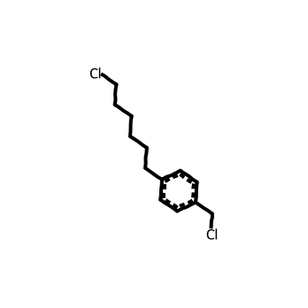 ClCCCCCCc1ccc(CCl)cc1